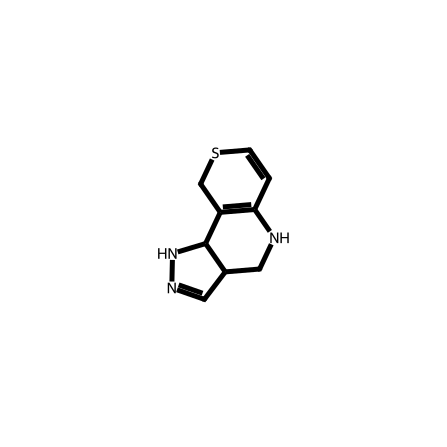 C1=CC2=C(CS1)C1NN=CC1CN2